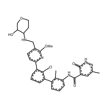 COc1nc(-c2cccc(-c3cccc(NC(=O)c4cc(C)n[nH]c4=O)c3C)c2Cl)ccc1CNC1CCOCC1O